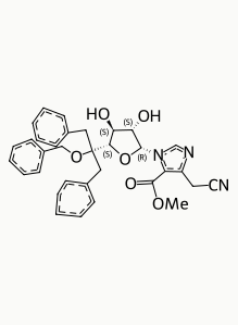 COC(=O)c1c(CC#N)ncn1[C@@H]1O[C@H](C(Cc2ccccc2)(Cc2ccccc2)OCc2ccccc2)[C@@H](O)[C@@H]1O